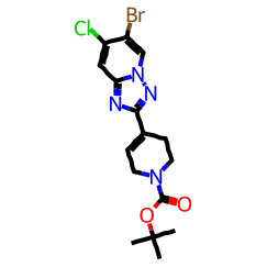 CC(C)(C)OC(=O)N1CC=C(c2nc3cc(Cl)c(Br)cn3n2)CC1